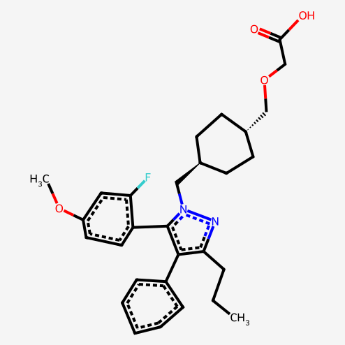 CCCc1nn(C[C@H]2CC[C@H](COCC(=O)O)CC2)c(-c2ccc(OC)cc2F)c1-c1ccccc1